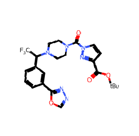 CC(C)(C)OC(=O)c1ccn(C(=O)N2CCN(C(c3cccc(-c4nnco4)c3)C(F)(F)F)CC2)n1